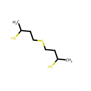 CC(S)CCSCCC(C)S